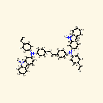 C=Cc1ccc(N(c2ccc(CCc3ccc(N(c4ccc(C=C)cc4)c4ccc5c6ccccc6n(C)c5c4)cc3)cc2)c2ccc3c4ccccc4n(C)c3c2)cc1